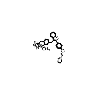 COc1cc(Cc2c(-c3ccc(OCCN4CCCC4)cc3)sc3ccccc23)ccc1Cc1nnn[nH]1